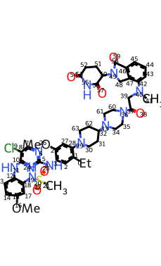 CCc1cc(Nc2ncc(Cl)c(Nc3ccc(OC)cc3NS(C)(=O)=O)n2)c(OC)cc1N1CCC(N2CCN(C(=O)CN(C)c3cccc4c3CN(C3CCC(=O)NC3=O)C4=O)CC2)CC1